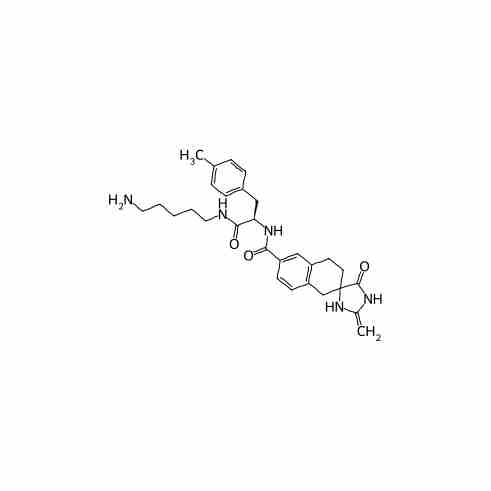 C=C1NC(=O)C2(CCc3cc(C(=O)N[C@H](Cc4ccc(C)cc4)C(=O)NCCCCCN)ccc3C2)N1